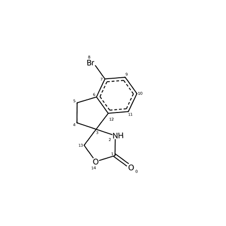 O=C1NC2(CCc3c(Br)cccc32)CO1